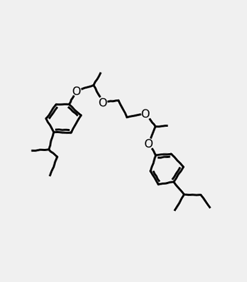 CCC(C)c1ccc(OC(C)OCCOC(C)Oc2ccc(C(C)CC)cc2)cc1